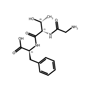 C[C@@H](O)[C@H](NC(=O)CN)C(=O)N[C@@H](Cc1ccccc1)C(=O)O